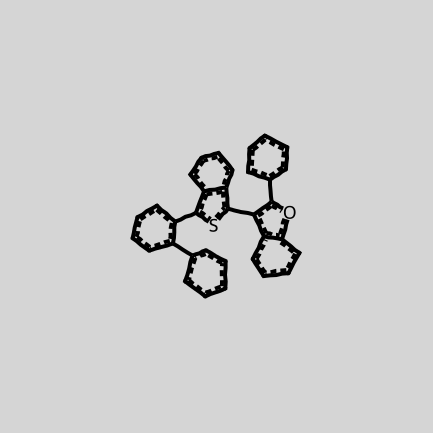 c1ccc(-c2ccccc2-c2sc(-c3c(-c4ccccc4)oc4ccccc34)c3ccccc23)cc1